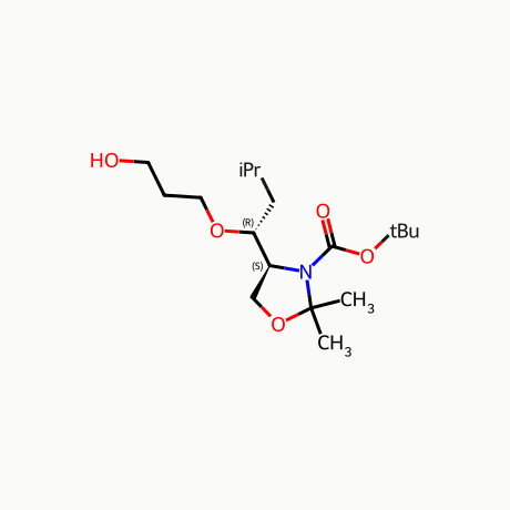 CC(C)C[C@@H](OCCCO)[C@@H]1COC(C)(C)N1C(=O)OC(C)(C)C